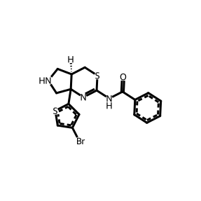 O=C(NC1=NC2(c3cc(Br)cs3)CNC[C@H]2CS1)c1ccccc1